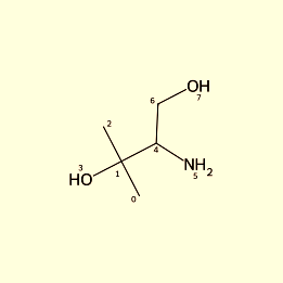 CC(C)(O)C(N)CO